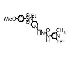 CCCc1cc(NC(=O)NCCN2CCC(N(CC)S(=O)(=O)c3ccc(OC)cc3)CC2)cc(C)n1